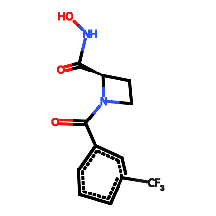 O=C(NO)[C@H]1CCN1C(=O)c1cccc(C(F)(F)F)c1